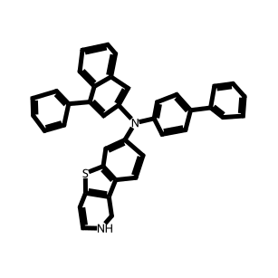 C1=Cc2sc3cc(N(c4ccc(-c5ccccc5)cc4)c4cc(-c5ccccc5)c5ccccc5c4)ccc3c2CN1